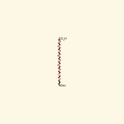 CCCCCCCCCCCCCOCCOCCOCCOCCOCCOCCOCCOCCOCC(=O)O